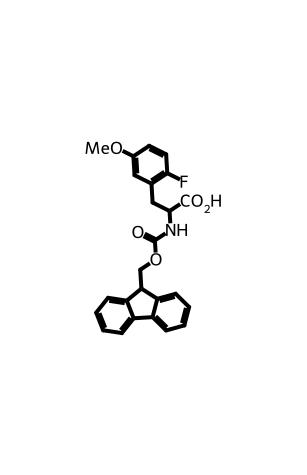 COc1ccc(F)c(CC(NC(=O)OCC2c3ccccc3-c3ccccc32)C(=O)O)c1